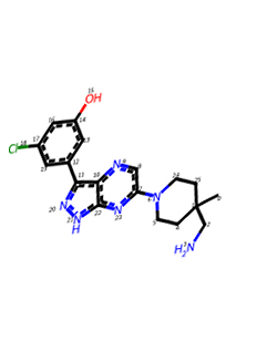 CC1(CN)CCN(c2cnc3c(-c4cc(O)cc(Cl)c4)n[nH]c3n2)CC1